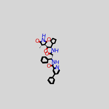 C[C@@H]1C(=O)NC(=O)[C@H]1C(=O)[C@@H](NC(=O)C[C@H](NC(=O)c1cc(-c2ccccc2)ccn1)c1ccccc1)C1CCCC1